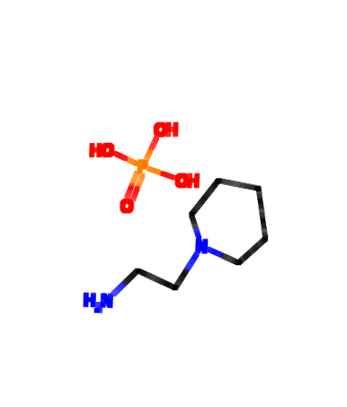 NCCN1CCCCC1.O=P(O)(O)O